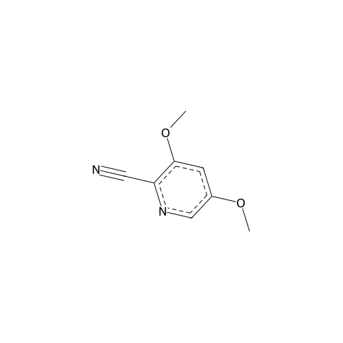 COc1cnc(C#N)c(OC)c1